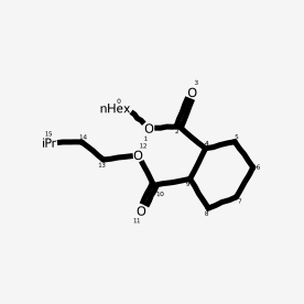 CCCCCCOC(=O)C1CCCCC1C(=O)OCCC(C)C